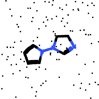 C1=NCCN1n1cccc1